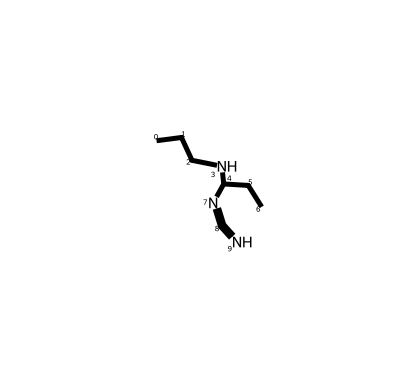 CCCNC(CC)N=C=N